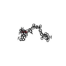 C#Cc1c(F)ccc2cccc(-c3ncc4c(N5C[C@H]6CC[C@@H](C5)N6C(=O)OC(C)(C)C)nc(OC[C@@]56CC[C@@H](COC(=O)N7CCN(C(=O)C8CCN(c9ccc%10c(c9)C(=O)N(C9CCC(=O)NC9=O)C%10=O)CC8)CC7)N5CC(=C)C6)nc4c3F)c12